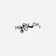 C=CCOP(=O)(O)O